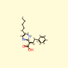 CCCCCc1cnc(/C(=C\Cc2ccccc2)C(=O)O)nc1